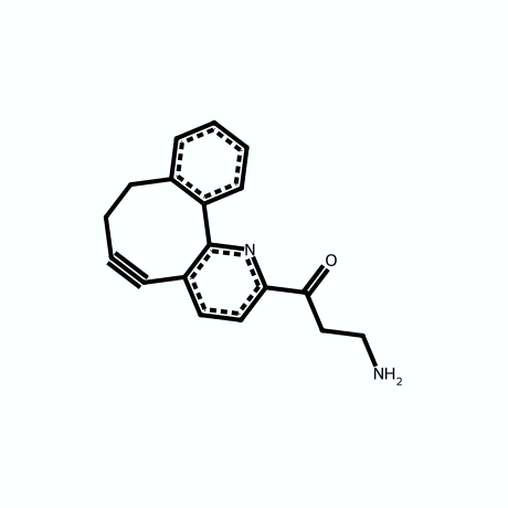 NCCC(=O)c1ccc2c(n1)-c1ccccc1CCC#C2